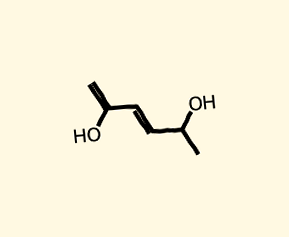 C=C(O)/C=C/C(C)O